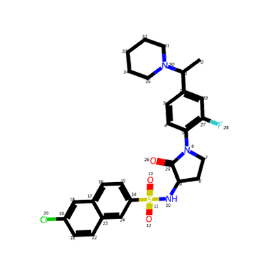 CC(c1ccc(N2CCC(NS(=O)(=O)c3ccc4cc(Cl)ccc4c3)C2=O)c(F)c1)N1CCCCC1